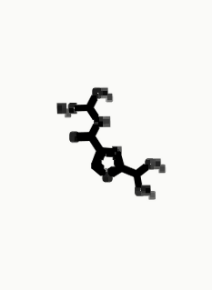 CC(C)NC(=O)c1coc(C(C)C)n1